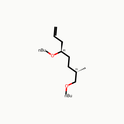 C=CC[C@@H](CC[C@H](C)COCCCC)OCCCC